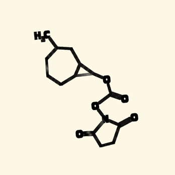 CC1CCCC2C(C1)C2OC(=O)ON1C(=O)CCC1=O